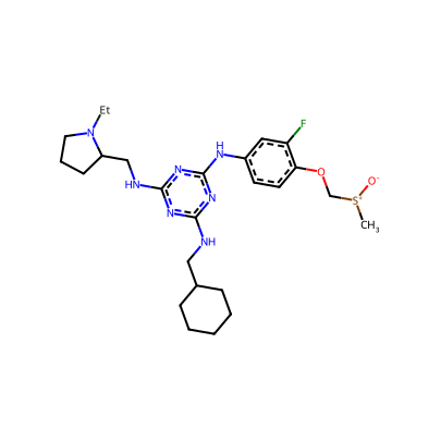 CCN1CCCC1CNc1nc(NCC2CCCCC2)nc(Nc2ccc(OC[S+](C)[O-])c(F)c2)n1